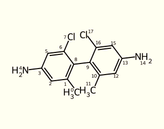 Cc1cc(N)cc(Cl)c1-c1c(C)cc(N)cc1Cl